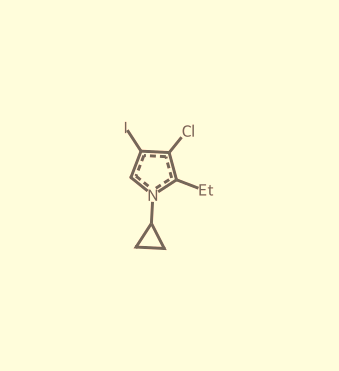 CCc1c(Cl)c(I)cn1C1CC1